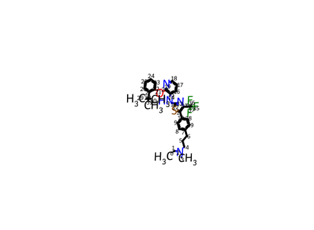 CCN(C)CCCc1ccc(-c2sc(Nc3cccnc3Oc3ccccc3C(C)(C)C)nc2C(F)(F)F)cc1